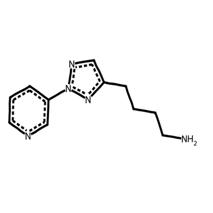 NCCCCc1cnn(-c2cccnc2)n1